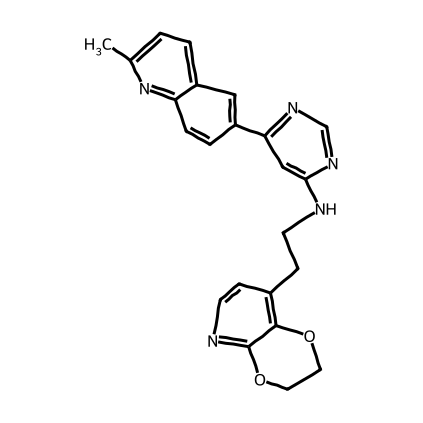 Cc1ccc2cc(-c3cc(NCCc4ccnc5c4OCCO5)ncn3)ccc2n1